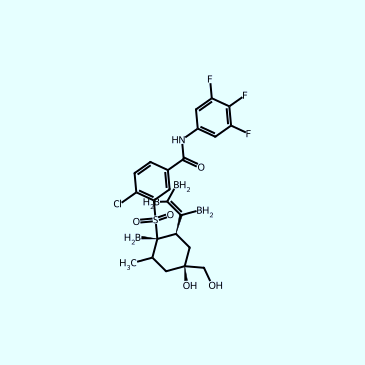 BC(B)=C(B)[C@H]1C[C@](O)(CO)CC(C)[C@]1(B)S(=O)(=O)c1cc(C(=O)Nc2cc(F)c(F)c(F)c2)ccc1Cl